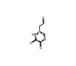 O=CCn1[c]nc(=O)c(=O)[nH]1